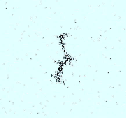 CNCC(=O)NC(C)C(=O)Nc1ccc(C(CNC(=O)CCC(NC(=O)COCCOCCNC(=O)CCN2C(=O)CC(C)C2=O)C(=O)C(C)C)OC(C)=O)cc1